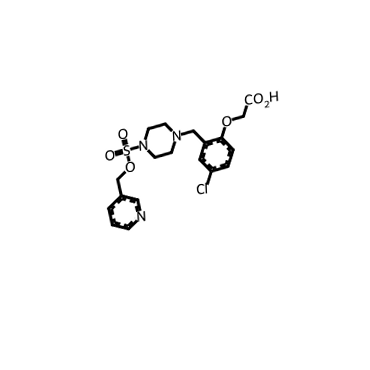 O=C(O)COc1ccc(Cl)cc1CN1CCN(S(=O)(=O)OCc2cccnc2)CC1